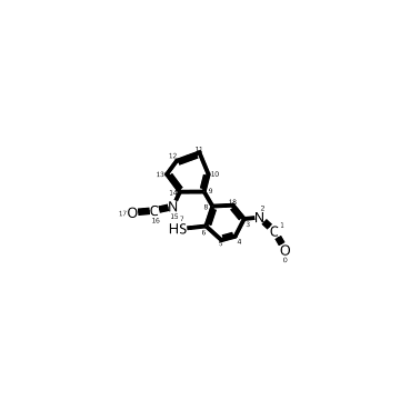 O=C=Nc1ccc(S)c(-c2ccccc2N=C=O)c1